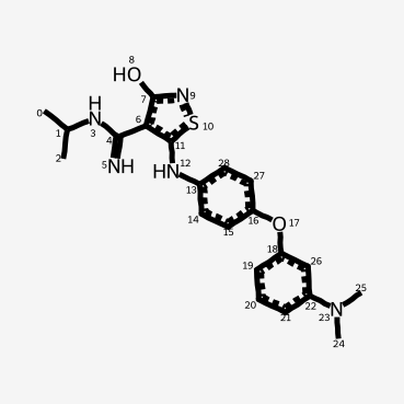 CC(C)NC(=N)c1c(O)nsc1Nc1ccc(Oc2cccc(N(C)C)c2)cc1